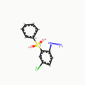 NNc1ccc(Cl)cc1S(=O)(=O)c1ccccc1